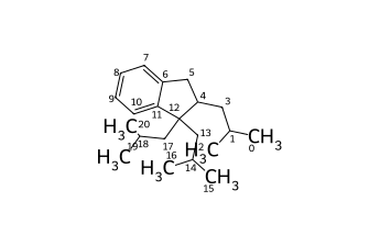 CC(C)CC1Cc2ccccc2C1(CC(C)C)CC(C)C